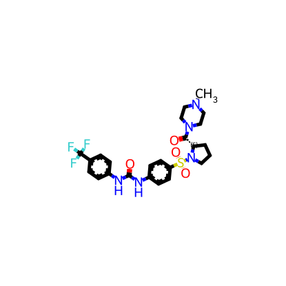 CN1CCN(C(=O)[C@@H]2CCCN2S(=O)(=O)c2ccc(NC(=O)Nc3ccc(C(F)(F)F)cc3)cc2)CC1